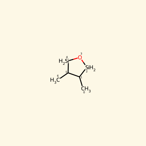 CC1[SiH2]O[SiH2]C1C